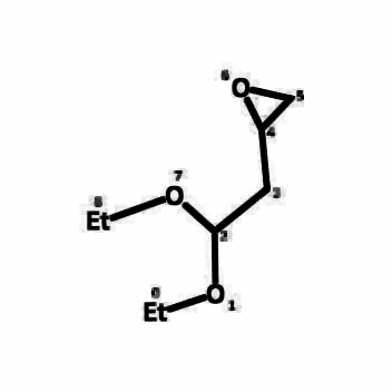 CCOC(CC1CO1)OCC